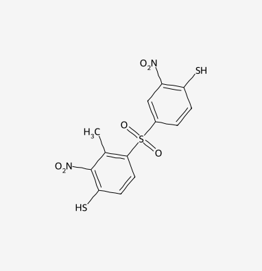 Cc1c(S(=O)(=O)c2ccc(S)c([N+](=O)[O-])c2)ccc(S)c1[N+](=O)[O-]